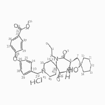 CCCN1C(=O)[C@@H](CC2(O)CCCCC2)NC(=O)C12CCN(Cc1ccc(Oc3ccc(C(=O)OC)cc3)cc1)CC2.Cl